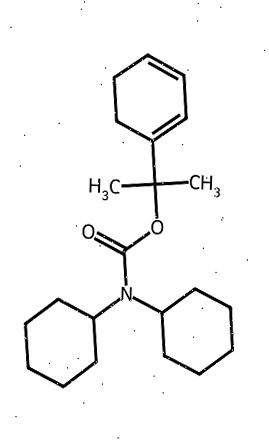 CC(C)(OC(=O)N(C1CCCCC1)C1CCCCC1)C1=CC=CCC1